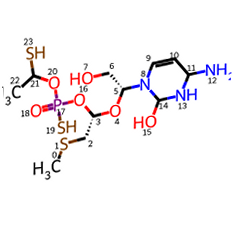 CSC[C@@H](O[C@H](CO)N1C=CC(N)NC1O)OP(=O)(S)OC(C)S